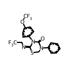 O=C1N(c2ccccc2)CSC(=NCC(F)(F)F)N1c1ccc(OC(F)(F)F)cc1